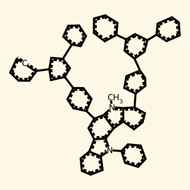 Cn1c2c(-c3ccc(-c4cc(-c5ccccc5)cc(-c5ccccc5)c4)cc3)cccc2c2c1c(-c1ccc(-c3cc(-c4ccccc4)cc(-c4ccccc4)c3)cc1)cc1c3ccccc3n(-c3ccccc3)c12